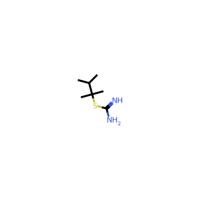 CC(C)C(C)(C)SC(=N)N